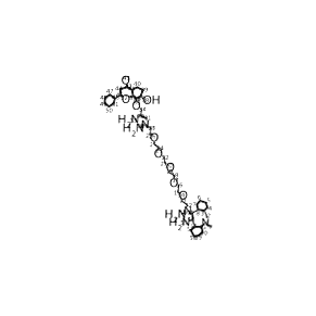 CN1Cc2ccccc2/C(N(N)CCOCCOCCOCCOCCOCCN(N)/C=C(\N)COc2c(O)ccc3c(=O)cc(-c4ccccc4)oc23)=C(/N)c2ccccc21